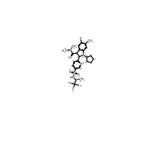 Cc1cc2c(cc1F)C(C(=O)N(C)C)C(c1ccc(S(=O)(=O)N[C@@H](C)C(F)(F)F)cn1)N2C1CCCC1